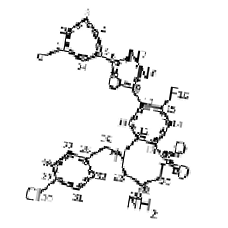 Cc1cccc(-c2nnc(-c3cc4c(cc3F)S(=O)(=O)C[C@H](N)CN4Cc3ccc(Cl)cc3)o2)c1